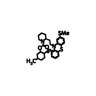 CSc1ccc2c(c1)N(CC[C@@H]1CCCCN1C(=O)OC1CC(C)CCC1C(C)C)c1ccccc1S2